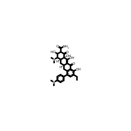 CCc1cc(-c2ccc(N(C)C)cc2)c2c(c1O)C(=O)C1=C(O)[C@]3(O)C(=O)C(C(N)=O)C(O)C(N(C)C)[C@@H]3C[C@@H]1C2